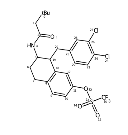 CC(C)(C)CC(=O)NC1CCc2ccc(OS(=O)(=O)C(F)(F)F)cc2C1Cc1ccc(Cl)c(Cl)c1